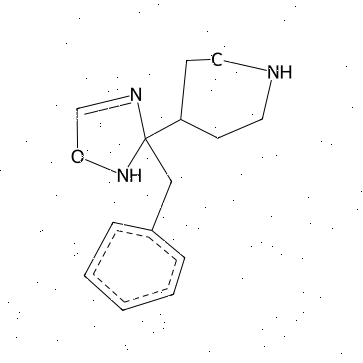 C1=NC(Cc2ccccc2)(C2CCNCC2)NO1